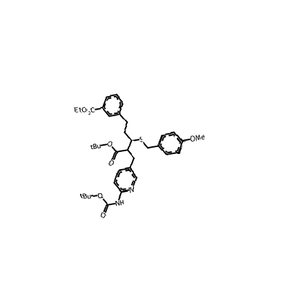 CCOC(=O)c1cccc(CCC(SCc2ccc(OC)cc2)C(Cc2ccc(NC(=O)OC(C)(C)C)nc2)C(=O)OC(C)(C)C)c1